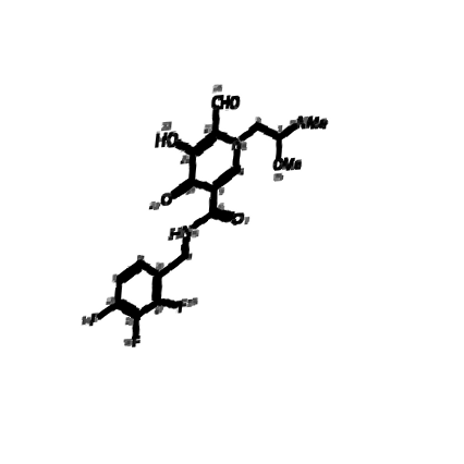 CNC(Cn1cc(C(=O)NCc2ccc(F)c(F)c2F)c(=O)c(O)c1C=O)OC